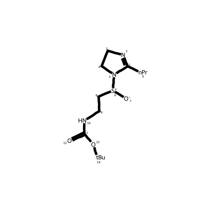 CCCC1=NCCN1[S+]([O-])CCNC(=O)OC(C)(C)C